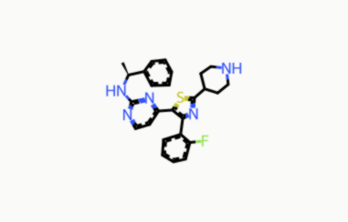 C[C@H](Nc1nccc(-c2sc(C3CCNCC3)nc2-c2ccccc2F)n1)c1ccccc1